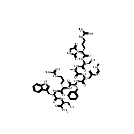 C=C(C[C@H](NC(=O)[C@@H](C)NC(=O)[C@H](CS)NC(=O)[C@H](CCCNC(=N)N)N1C(=O)CNC1=O)C(=O)N[C@H](Cc1ccccc1)C(=O)N[C@@H](CCCNC(=N)N)C(=O)N[C@@H](Cc1c[nH]c2ccccc12)C(=O)N[C@@H](CS)C(N)=O)/N=C\NC